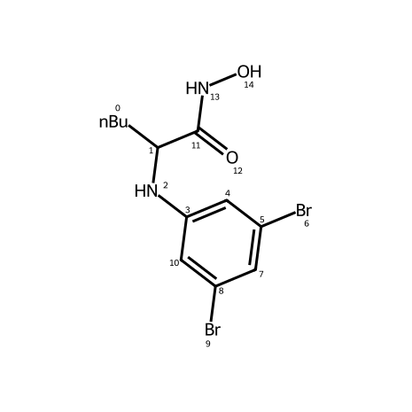 CCCCC(Nc1cc(Br)cc(Br)c1)C(=O)NO